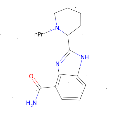 CCCN1CCCCC1c1nc2c(C(N)=O)cccc2[nH]1